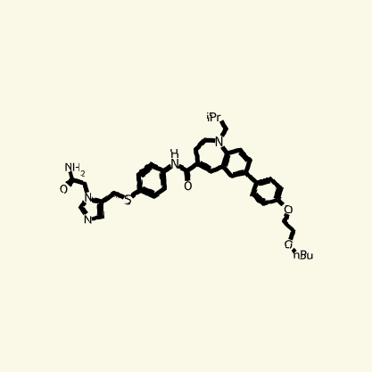 CCCCOCCOc1ccc(-c2ccc3c(c2)C=C(C(=O)Nc2ccc(SCc4cncn4CC(N)=O)cc2)CCN3CC(C)C)cc1